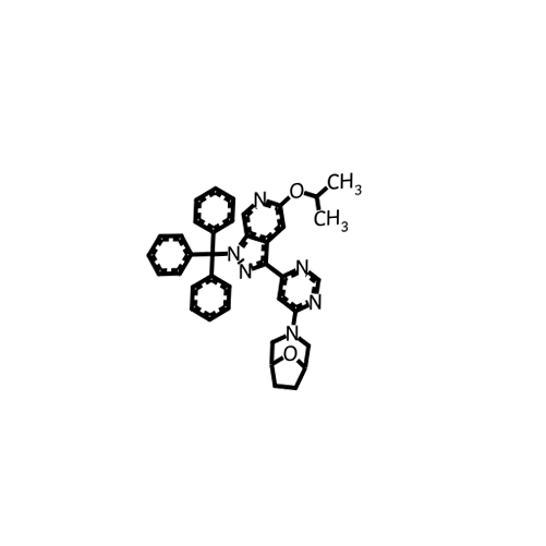 CC(C)Oc1cc2c(-c3cc(N4CC5CCC(C4)O5)ncn3)nn(C(c3ccccc3)(c3ccccc3)c3ccccc3)c2cn1